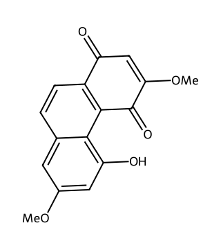 COC1=CC(=O)c2ccc3cc(OC)cc(O)c3c2C1=O